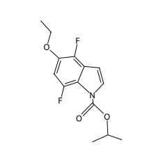 CCOc1cc(F)c2c(ccn2C(=O)OC(C)C)c1F